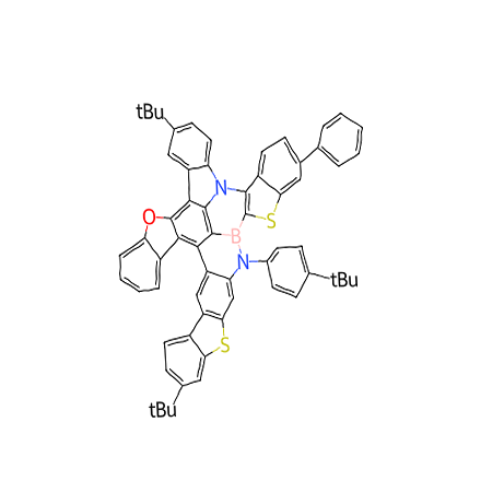 CC(C)(C)c1ccc(N2B3c4sc5cc(-c6ccccc6)ccc5c4-n4c5ccc(C(C)(C)C)cc5c5c6oc7ccccc7c6c(c3c54)-c3cc4c(cc32)sc2cc(C(C)(C)C)ccc24)cc1